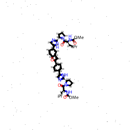 COC(=O)N[C@@H](CC(C)C)C(=O)N1CCC[C@H]1c1ncc(-c2ccc(-c3cc4cc(-c5cnc([C@@H]6CCCN6C(=O)[C@H](CC(C)C)NC(=O)OC)[nH]5)ccc4o3)cc2)[nH]1